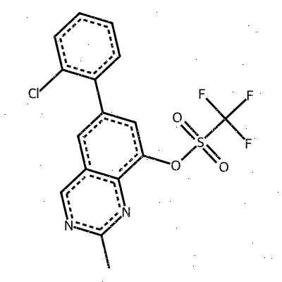 Cc1ncc2cc(-c3ccccc3Cl)cc(OS(=O)(=O)C(F)(F)F)c2n1